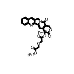 CC[C@@]1(OC(=O)COCC(=O)OC(C)(C)C)C(=O)OCc2c1cc1n(c2=O)Cc2cc3ccccc3nc2-1